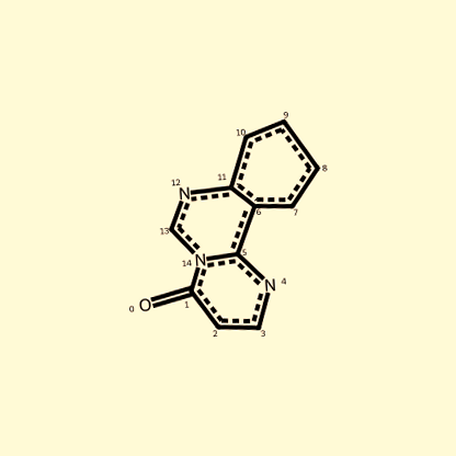 O=c1ccnc2c3ccccc3ncn12